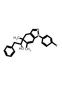 CC1=Cc2c(cnn2-c2ccc(F)cc2)CC1(C)[C@@H](O)Cc1ccccc1